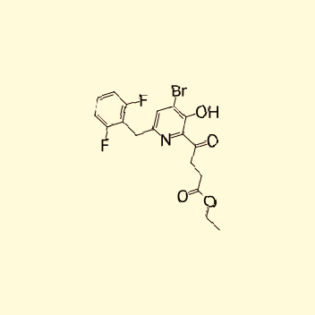 CCOC(=O)CCC(=O)c1nc(Cc2c(F)cccc2F)cc(Br)c1O